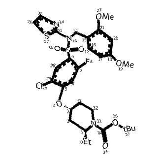 CC[C@H]1C[C@H](Oc2cc(F)c(S(=O)(=O)N(Cc3ccc(OC)cc3OC)c3nccs3)cc2Cl)CCN1C(=O)OC(C)(C)C